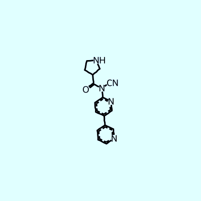 N#CN(C(=O)C1CCNC1)c1ccc(-c2cccnc2)cn1